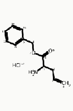 C=CCC(N)C(=O)OCc1ccccc1.Cl